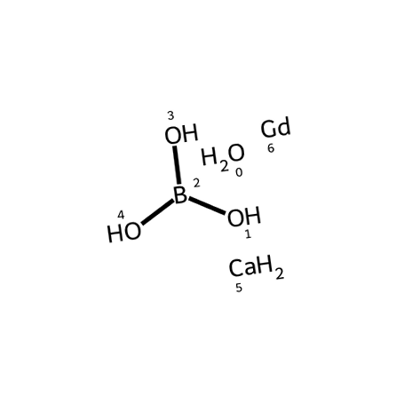 O.OB(O)O.[CaH2].[Gd]